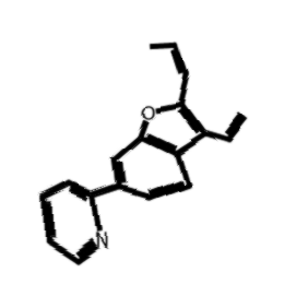 C=Cc1c(/C=C\C)oc2cc(-c3ccccn3)ccc12